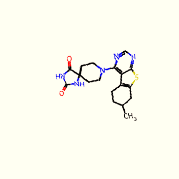 CC1CCc2c(sc3ncnc(N4CCC5(CC4)NC(=O)NC5=O)c23)C1